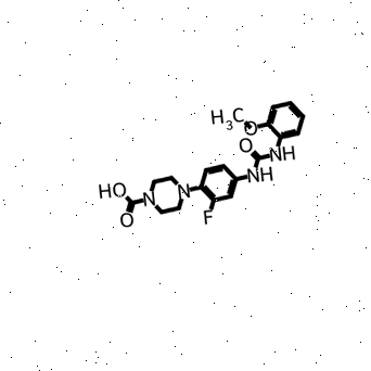 COc1ccccc1NC(=O)Nc1ccc(N2CCN(C(=O)O)CC2)c(F)c1